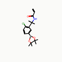 C=CC(=O)NC(C)(C)c1cc(B2OC(C)(C)C(C)(C)O2)ccc1Cl